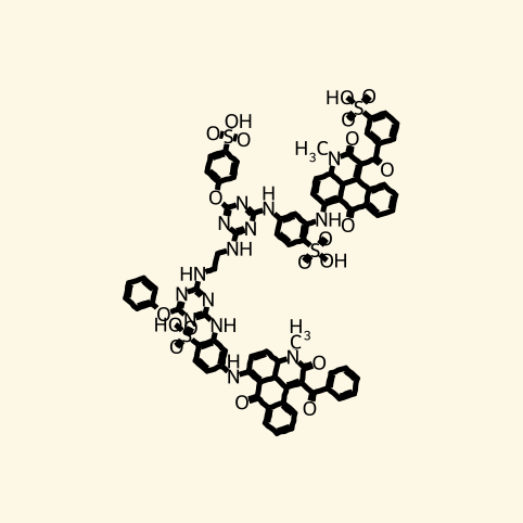 CN1C(=O)C(C(=O)c2ccccc2)=C2c3ccccc3C(=O)C3=C(Nc4ccc(S(=O)(=O)O)c(Nc5nc(NCCNc6nc(Nc7ccc(S(=O)(=O)O)c(NC8=C9C(=O)c%10ccccc%10C%10=C(C(=O)c%11cccc(S(=O)(=O)O)c%11)C(=O)N(C)C(C=C8)C9%10)c7)nc(Oc7ccc(S(=O)(=O)O)cc7)n6)nc(Oc6ccccc6)n5)c4)C=CC1C32